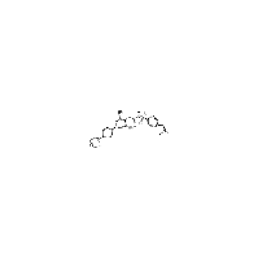 CC(C)c1cc(-c2ccc(N3CCOCC3)cc2)cc(C(C)C)c1CC(=O)NS(=O)(=O)c1ccc(CN(C)C)cc1